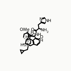 CO[C@]12CC[C@@]3(C[C@@H]1CNC(=O)C(N)Cc1c[nH]cn1)[C@H]1Cc4ccc(O)c5c4[C@@]3(CCN1CC1CC1)[C@H]2O5